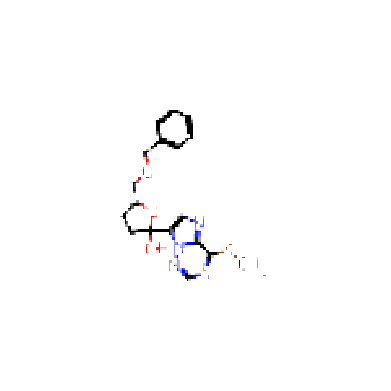 CSc1ncnn2c(C3(O)CC[C@@H](COCc4ccccc4)O3)cnc12